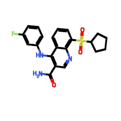 NC(=O)c1cnc2c(S(=O)(=O)C3CCCC3)cccc2c1Nc1cccc(F)c1